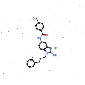 CCCCCCCCc1ccc(C(=O)Nc2ccc3c(c2)nc(N)n3CCCc2ccccc2)cc1.Cl